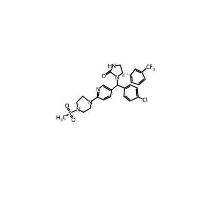 CS(=O)(=O)N1CCN(c2ccc(C(c3ccc(Cl)cc3)N3C(=O)NC[C@@H]3c3cccc(C(F)(F)F)c3)cn2)CC1